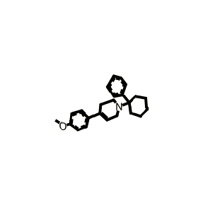 COc1ccc(C2=CCN(C3(c4ccccc4)CCCCC3)CC2)cc1